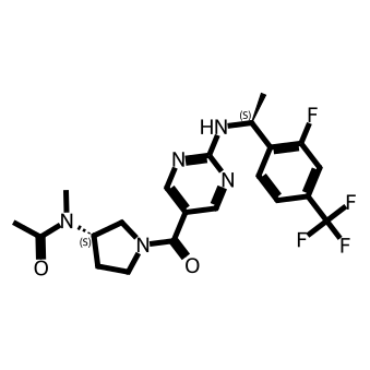 CC(=O)N(C)[C@H]1CCN(C(=O)c2cnc(N[C@@H](C)c3ccc(C(F)(F)F)cc3F)nc2)C1